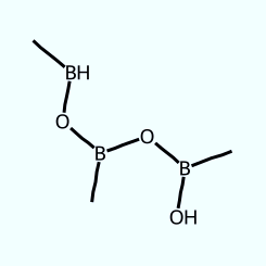 CBOB(C)OB(C)O